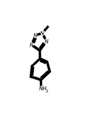 Cn1nnc(-c2ccc(N)cc2)n1